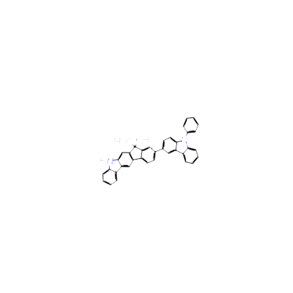 CC1(C)c2cc(-c3ccc4c(c3)c3ccccc3n4-c3ccccc3)ccc2-c2cc3c(cc21)[nH]c1ccccc13